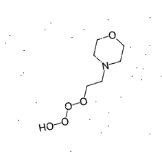 OOOOCCN1CCOCC1